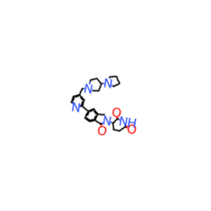 O=C1CCC(N2Cc3cc(-c4cc(CN5CCC(N6CCCC6)CC5)ccn4)ccc3C2=O)C(=O)N1